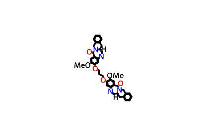 COc1cc2c(cc1OCCCOc1cc3c(cc1OC)C(=O)N1Cc4ccccc4C[C@@H]1C=N3)N=C[C@@H]1Cc3ccccc3CN1C2=O